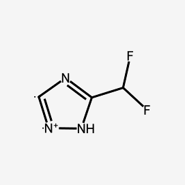 FC(F)C1=N[C]=[N+]N1